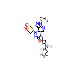 CCC(=O)NC1CC2(CC(c3cnc4c(cnn4CC)c3NC3CCS(=O)(=O)CC3)=NO2)C1